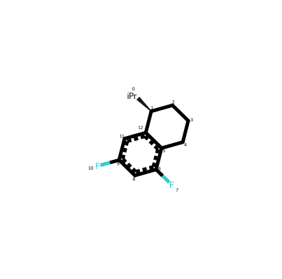 CC(C)[C@H]1CCCc2c(F)cc(F)cc21